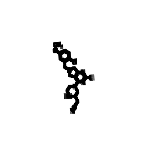 COc1ccc(Cl)c(CN2Cc3nc(Cl)nc(N4CCNC(CC#N)C4)c3C2)c1